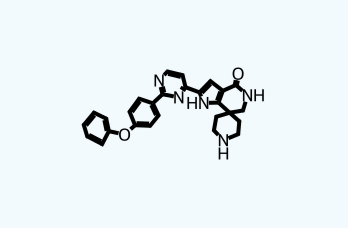 O=C1NCC2(CCNCC2)c2[nH]c(-c3ccnc(-c4ccc(Oc5ccccc5)cc4)n3)cc21